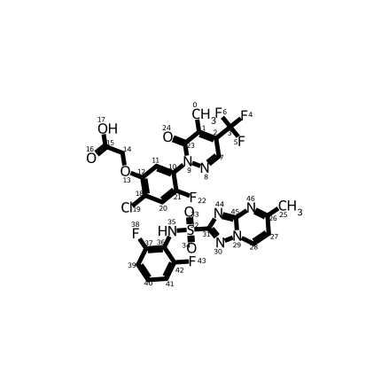 Cc1c(C(F)(F)F)cnn(-c2cc(OCC(=O)O)c(Cl)cc2F)c1=O.Cc1ccn2nc(S(=O)(=O)Nc3c(F)cccc3F)nc2n1